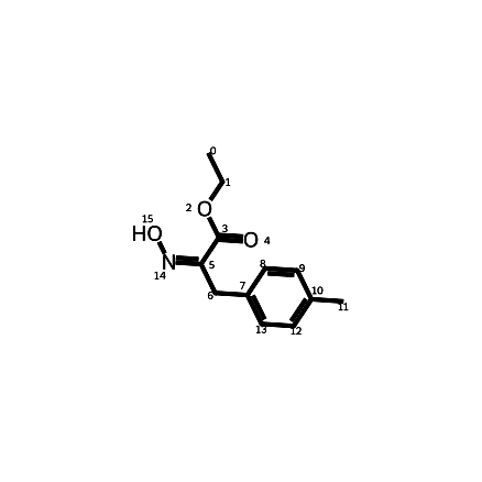 CCOC(=O)/C(Cc1ccc(C)cc1)=N\O